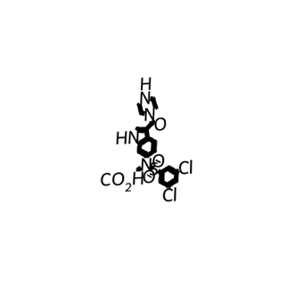 O=C(O)CN(c1ccc2c(C(=O)N3CCNCC3)c[nH]c2c1)S(=O)(=O)c1cc(Cl)cc(Cl)c1